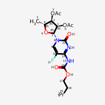 CC(=O)O[C@@H]1[C@H](OC(C)=O)[C@@H](C)O[C@H]1n1cc(F)c(NC(=O)OCCC(C)C)nc1=O